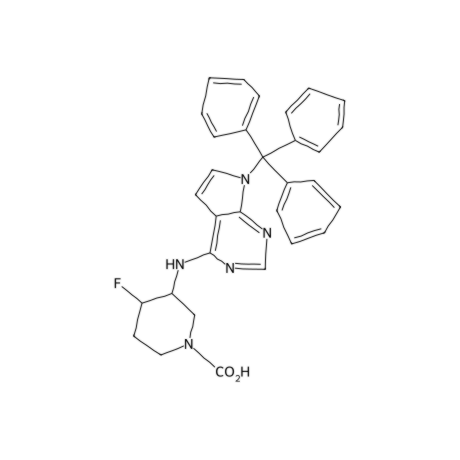 O=C(O)N1CCC(F)C(Nc2ncnc3c2ccn3C(c2ccccc2)(c2ccccc2)c2ccccc2)C1